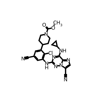 COC(=O)N1CCC(c2cc(C#N)cc(Nc3nc(NC4CC4)c4ncc(C#N)n4n3)c2Cl)CC1